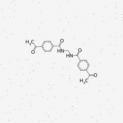 CC(=O)c1ccc(C(=O)NCNC(=O)c2ccc(C(C)=O)cc2)cc1